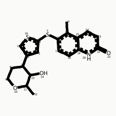 Cc1c(Sc2cc(C3CCOC(C)C3O)cs2)ccc2[nH]c(=O)ccc12